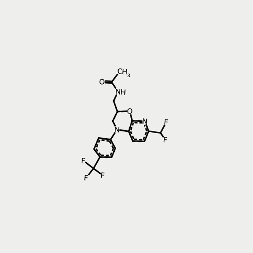 CC(=O)NCC1CN(c2ccc(C(F)(F)F)cc2)c2ccc(C(F)F)nc2O1